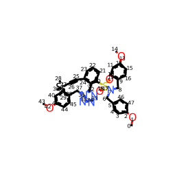 COc1ccc(CN(Cc2ccc(OC)cc2)S(=O)(=O)c2cccc(C#C[Si](C)(C)C)c2-c2nnnn2Cc2ccc(OC)cc2)cc1